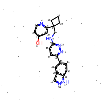 Oc1ccnc(C2(CNc3ccc(-c4ccc5[nH]ncc5c4)nn3)CCC2)c1